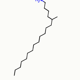 CCCCCCCCCCCCCC(C)CCCCN